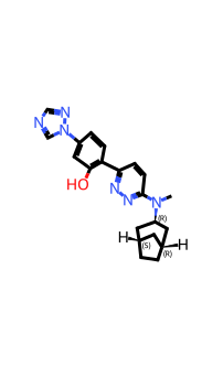 CN(c1ccc(-c2ccc(-n3cncn3)cc2O)nn1)[C@H]1C[C@@H]2CC[C@@H](C2)C1